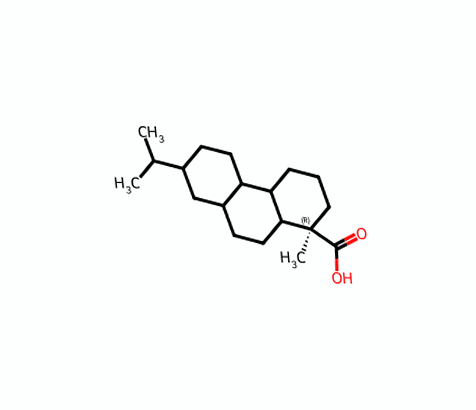 CC(C)C1CCC2C(CCC3C2CCC[C@@]3(C)C(=O)O)C1